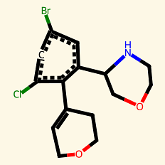 Clc1cc(Br)cc(C2COCCN2)c1C1=CCOCC1